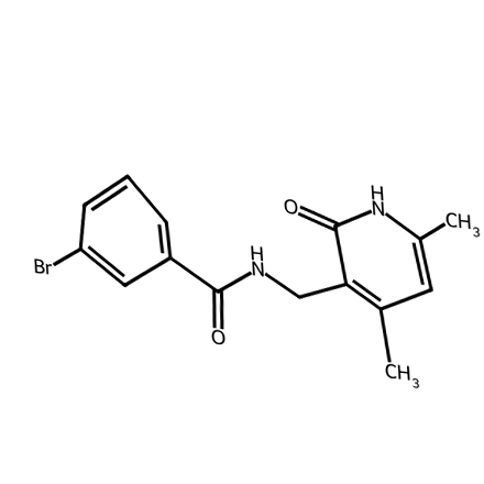 Cc1cc(C)c(CNC(=O)c2cccc(Br)c2)c(=O)[nH]1